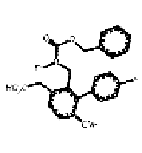 CCN(Cc1c(CC(=O)O)ccc(OC)c1-c1ccc(F)cc1)C(=O)OCc1ccccc1